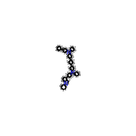 C1=CCC=C(n2ccc3c(-c4ccc(N(C5=CCCC=C5)c5ccc(-c6ccc(-c7ccc(N(C8=CC=CCC8)c8ccc(-c9ccccc9)cc8)cc7)cc6)cc5)cc4)cccc32)C=C1